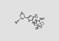 C[C@@]1(c2sc(-c3cncc(C#N)c3)cc2Cl)CS(=O)(=O)C2(CCC2)C(=N)N1